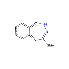 CSC1=NNC=c2ccccc2=C1